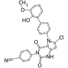 COc1cccc(-c2ccc(-n3c(Cl)cc4[nH]c(=O)n(-c5ccc(C#N)cc5)c(=O)c43)cc2)c1O